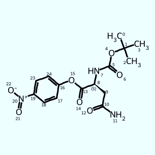 CC(C)(C)OC(=O)N[C@@H](CC(N)=O)C(=O)Oc1ccc([N+](=O)[O-])cc1